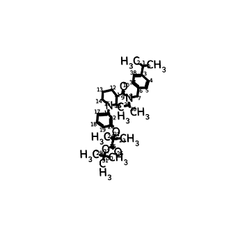 CC(C)c1ccc(CN(C(=O)[C@@H]2CCCN(c3cccc(OC(C)(C)C(=O)OC(C)(C)C)c3)C2)C(C)C)cc1